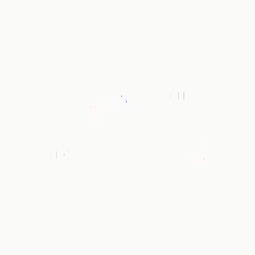 Cc1cc(C2(C)COC2)no1